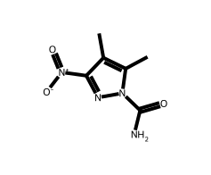 Cc1c([N+](=O)[O-])nn(C(N)=O)c1C